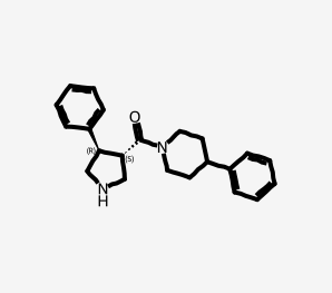 O=C([C@@H]1CNC[C@H]1c1ccccc1)N1CCC(c2ccccc2)CC1